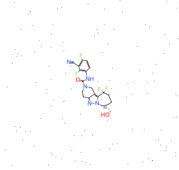 N#Cc1c(F)ccc(NC(=O)N2CCc3nn4c(c3C2)C(F)(F)CC[C@H](CO)C4)c1F